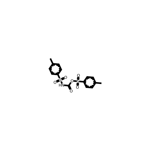 Cc1ccc(S(=O)(=O)NC(=O)OS(=O)(=O)c2ccc(C)cc2)cc1